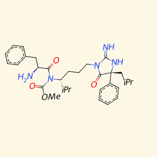 COC(=O)N(C(=O)[C@@H](N)Cc1ccccc1)[C@H](CCCN1C(=N)N[C@](CC(C)C)(c2ccccc2)C1=O)C(C)C